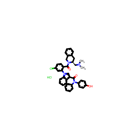 CN(C)C[C@@H]1Cc2ccccc2CN1C(=O)c1ccc(Cl)cc1-n1cc(C(=O)N(c2ccccc2)c2ccc(O)cc2)c2ccccc21.Cl